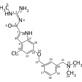 CNC(N)=NC(=O)c1cc2c(Cl)cc(OCc3cccc(CN(C)C)c3)cc2[nH]1